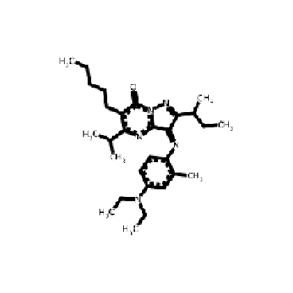 CCCCCc1c(C(C)C)nc2n(c1=O)N=C(C(C)CC)C2=Nc1ccc(N(CC)CC)cc1C